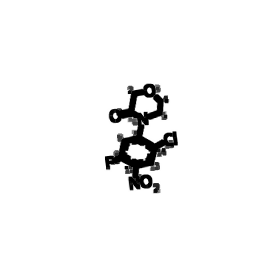 O=C1COCCN1c1cc(F)c([N+](=O)[O-])cc1Cl